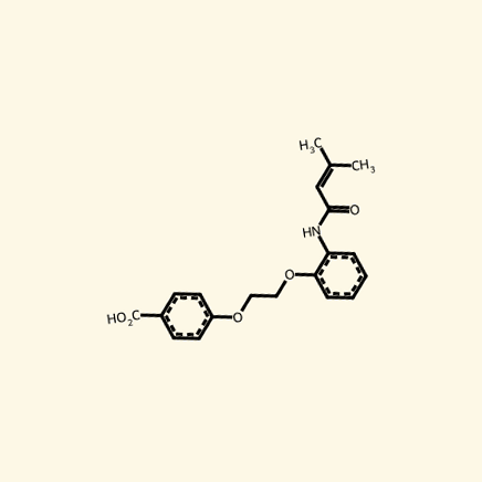 CC(C)=CC(=O)Nc1ccccc1OCCOc1ccc(C(=O)O)cc1